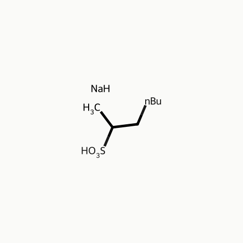 CCCCCC(C)S(=O)(=O)O.[NaH]